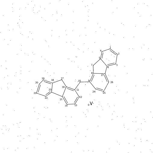 [V].c1ccc2c(c1)Cc1c(Cc3cccc4c3Cc3ccccc3-4)cccc1-2